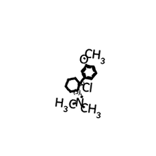 COc1cccc([C@]2(Cl)CCCC[C@H]2CN(C)C)c1